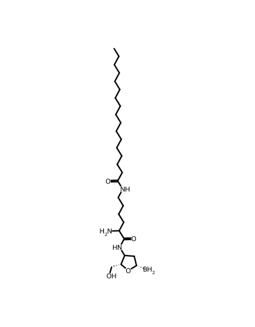 B[C@H]1CC(NC(=O)C(N)CCCCNC(=O)CCCCCCCCCCCCCCCC)[C@@H](CO)O1